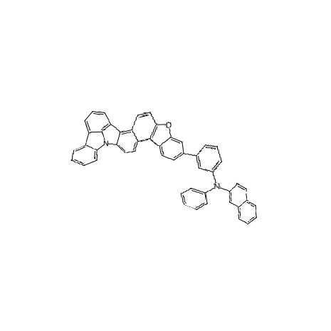 c1ccc(N(c2cccc(-c3ccc4c(c3)oc3ccc5c(ccc6c5c5cccc7c8ccccc8n6c75)c34)c2)c2ccc3ccccc3c2)cc1